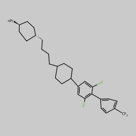 CCC[C@H]1CC[C@H](CCCCC2CCC(c3cc(F)c(-c4ccc(C(F)(F)F)cc4)c(F)c3)CC2)CC1